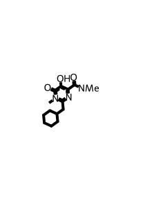 CNC(=O)c1nc(CC2CCCCC2)n(C)c(=O)c1O